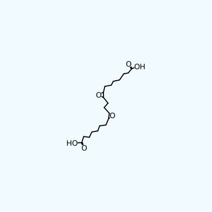 O=C(O)CCCCCCC1OC1CCC1OC1CCCCCCC(=O)O